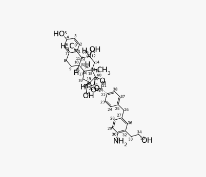 C[C@]12C=CC(O)C=C1CC[C@@H]1[C@@H]2[C@@H](O)C[C@@]2(C)[C@H]1C[C@H]1O[C@@H](c3ccc(Cc4ccc(N)c(CCO)c4)cc3)O[C@]12C(=O)CO